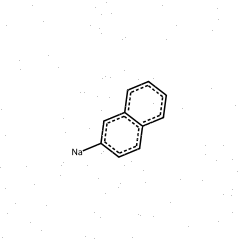 [Na][c]1ccc2ccccc2c1